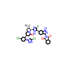 C[C@H]1Cc2cc(-c3cc(Cl)ccc3-n3cc(Cl)nn3)cc(=O)n2[C@@H]1c1nc(F)c(-c2ccc3c(N4C(=O)c5ccccc5C4=O)n[nH]c3c2)[nH]1